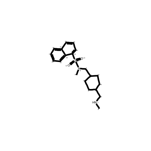 CNCC1CCC(CN(C)S(=O)(=O)c2cccc3ccccc23)CC1